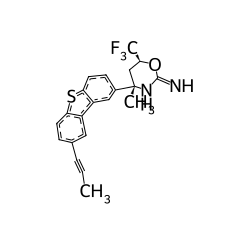 CC#Cc1ccc2sc3ccc([C@]4(C)C[C@@H](C(F)(F)F)OC(=N)N4)cc3c2c1